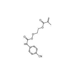 C=C(C)C(=O)OCCOOC(=O)Nc1ccc(C#N)cc1